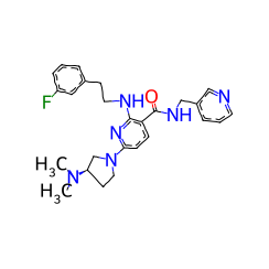 CN(C)[C@@H]1CCN(c2ccc(C(=O)NCc3cccnc3)c(NCCc3cccc(F)c3)n2)C1